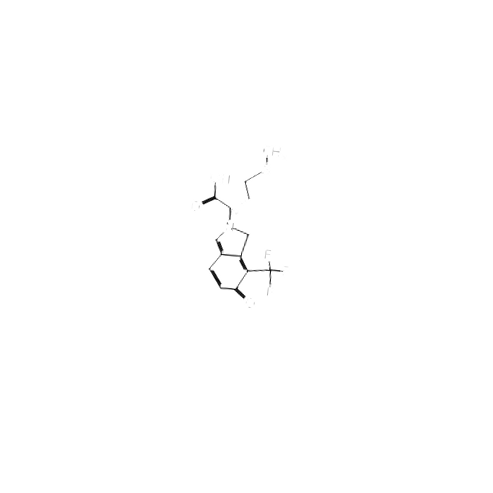 CSCC[C@@H](C(=O)O)N1C=C2C=CC(=O)C(C(F)(F)F)=C2C1